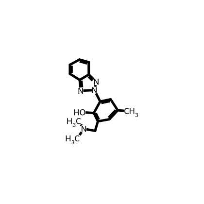 Cc1cc(CN(C)C)c(O)c(-n2nc3ccccc3n2)c1